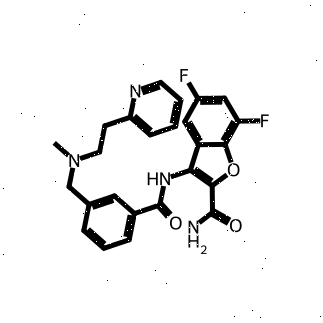 CN(CCc1ccccn1)Cc1cccc(C(=O)Nc2c(C(N)=O)oc3c(F)cc(F)cc23)c1